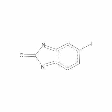 O=C1N=c2ccc(I)cc2=N1